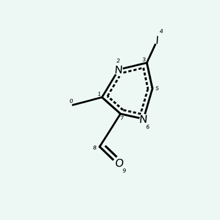 Cc1nc(I)cnc1C=O